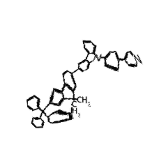 CC1(C)c2cc(-c3ccc4c(c3)c3ccccc3n4-c3ccc(-c4ccncc4)cc3)ccc2-c2ccc(C(c3ccccc3)(c3ccccc3)c3ccccc3)cc21